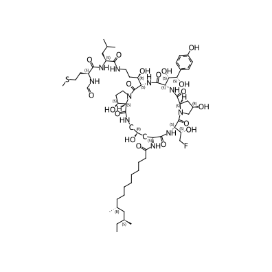 CC[C@H](C)C[C@H](C)CCCCCCCCC(=O)N[C@H]1C[C@@H](O)CNC(=O)[C@@H]2[C@@H](O)CCN2C(=O)[C@H]([C@H](O)CCNC(=O)[C@H](CC(C)C)NC(=O)[C@H](CCSC)NC=O)NC(=O)[C@H]([C@H](O)[C@@H](O)c2ccc(O)cc2)NC(=O)[C@@H]2C[C@@H](O)CN2C(=O)[C@H]([C@H](O)CF)NC1=O